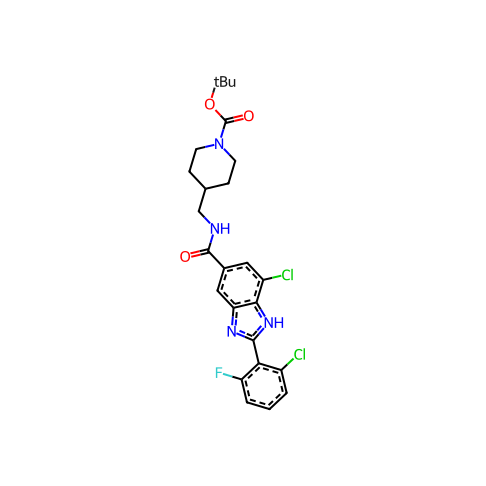 CC(C)(C)OC(=O)N1CCC(CNC(=O)c2cc(Cl)c3[nH]c(-c4c(F)cccc4Cl)nc3c2)CC1